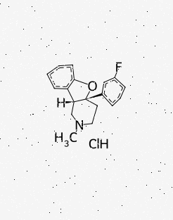 CN1CC[C@@]2(c3cccc(F)c3)Oc3ccccc3[C@H]2C1.Cl